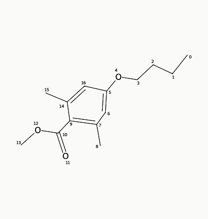 CCCCOc1cc(C)c(C(=O)OC)c(C)c1